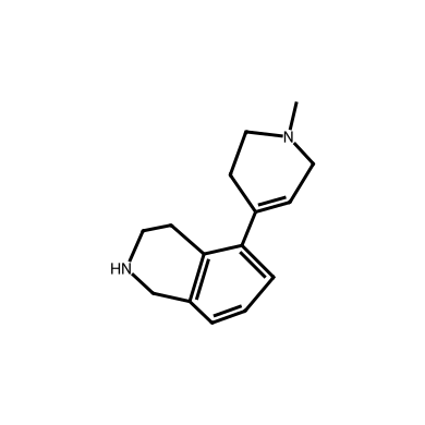 CN1CC=C(c2cccc3c2CCNC3)CC1